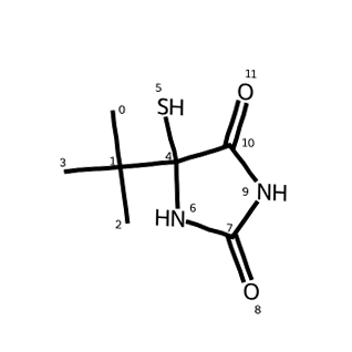 CC(C)(C)C1(S)NC(=O)NC1=O